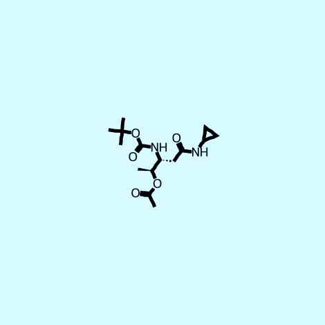 CC(=O)O[C@@H](C)[C@@H](CC(=O)NC1CC1)NC(=O)OC(C)(C)C